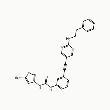 CC(C)(C)c1cc(NC(=O)Nc2cccc(C#Cc3cnc(NCCc4ccncc4)nc3)c2)no1